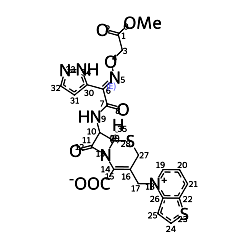 COC(=O)CO/N=C(/C(=O)NC1C(=O)N2C(C(=O)[O-])=C(C[n+]3cccc4sccc43)CS[C@H]12)c1ccn[nH]1